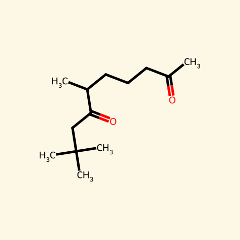 CC(=O)CCCC(C)C(=O)CC(C)(C)C